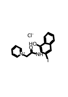 O=C(C[n+]1ccccc1)Nc1c(I)cc2ccccc2c1O.[Cl-]